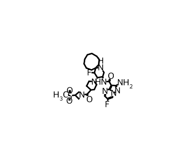 CS(=O)(=O)C1CN(C(=O)C2CCN(C3C(NC(=O)c4c(N)nn5cc(F)cnc45)CNC4(CCCCCCCCC4)C3F)CC2)C1